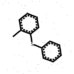 Cc1c[c]ccc1Sc1ccccc1